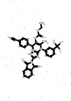 CCOC(=O)OC1=C(C)N(c2cccc(C(F)(F)F)c2)c2nc(N3C(=O)c4ccccc4C3=O)nn2C1c1ccc(C#N)cc1